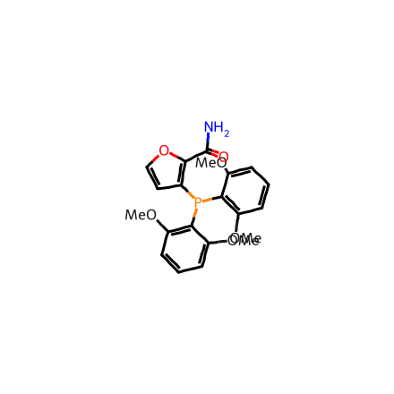 COc1cccc(OC)c1P(c1ccoc1C(N)=O)c1c(OC)cccc1OC